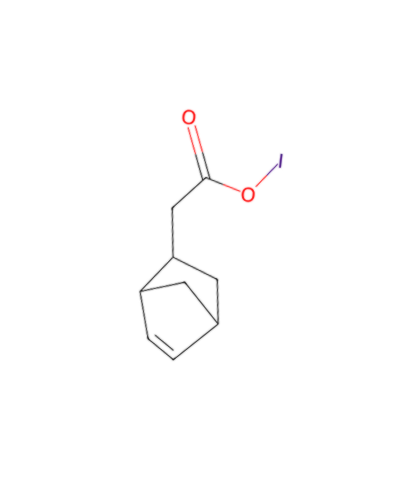 O=C(CC1CC2C=CC1C2)OI